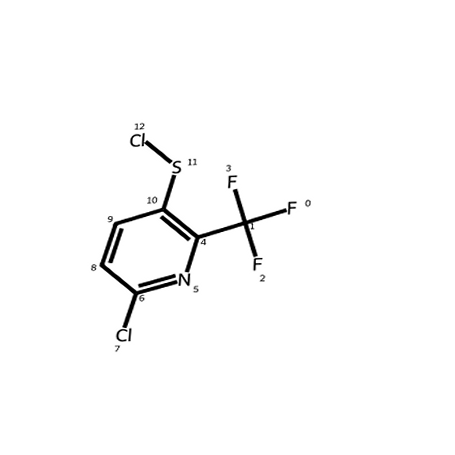 FC(F)(F)c1nc(Cl)ccc1SCl